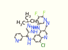 CC(C)(C)N1C=C([C@@H](Nc2cc(Cl)c3ncc(C#N)c(Nc4cnc(F)c(F)c4)c3c2)c2cccnc2)NN1